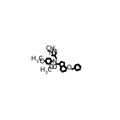 CCn1cc(CN(C(=O)C2CCc3c(OCc4ccccc4)cccc32)c2ccc(OC)cc2OC)cn1